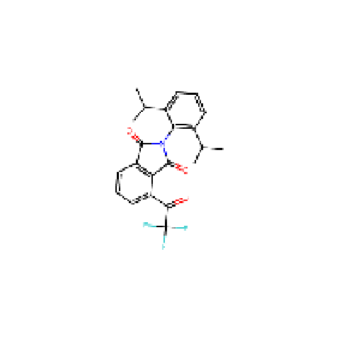 CC(C)c1cccc(C(C)C)c1N1C(=O)c2cccc(C(=O)C(F)(F)F)c2C1=O